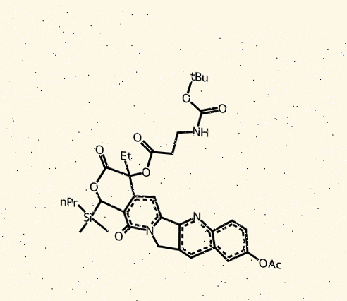 CCC[Si](C)(C)C1OC(=O)C(CC)(OC(=O)CCNC(=O)OC(C)(C)C)c2cc3n(c(=O)c21)Cc1cc2cc(OC(C)=O)ccc2nc1-3